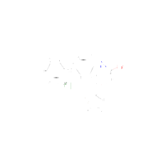 CC1(c2cccs2)OCC(=O)Nc2ccc(-c3ccccc3Cl)cc21